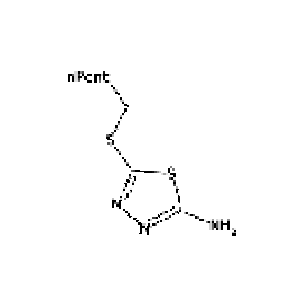 CCCCCCSc1nnc(N)s1